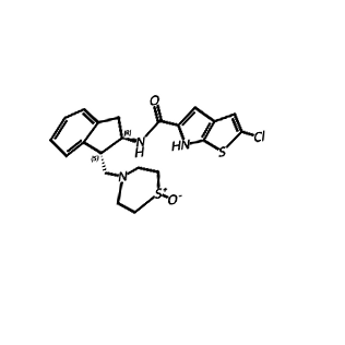 O=C(N[C@@H]1Cc2ccccc2[C@H]1CN1CC[S+]([O-])CC1)c1cc2cc(Cl)sc2[nH]1